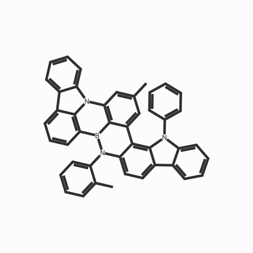 Cc1cc2c3c(c1)-n1c4ccccc4c4cccc(c41)B3N(c1ccccc1C)c1ccc3c4ccccc4n(-c4ccccc4)c3c1-2